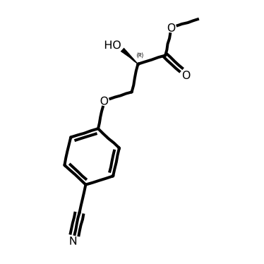 COC(=O)[C@H](O)COc1ccc(C#N)cc1